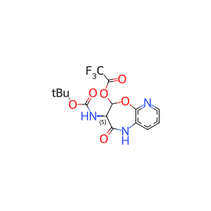 CC(C)(C)OC(=O)N[C@@H]1C(=O)Nc2cccnc2OC1OC(=O)C(F)(F)F